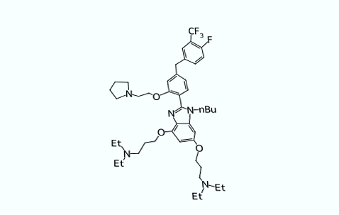 CCCCn1c(-c2ccc(Cc3ccc(F)c(C(F)(F)F)c3)cc2OCCN2CCCC2)nc2c(OCCCN(CC)CC)cc(OCCCN(CC)CC)cc21